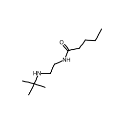 CCCCC(=O)NCCNC(C)(C)C